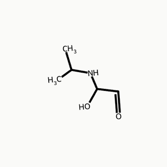 CC(C)NC(O)C=O